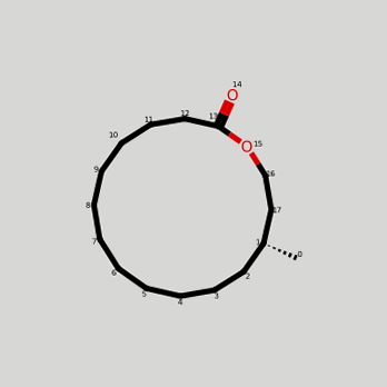 C[C@@H]1CCCCCCCCCCCC(=O)OCC1